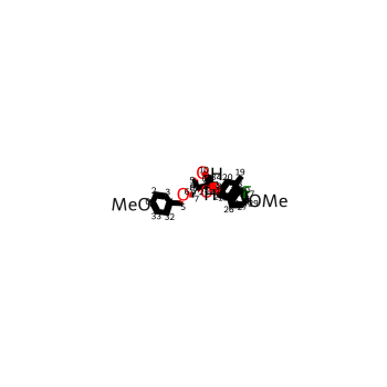 COc1ccc(COC[C@@]23CO[C@H]([C@H](c4ccc(F)c(C)c4)O2)[C@@H]3OCc2ccc(OC)cc2)cc1